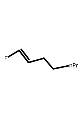 [CH2]CCCCC=CF